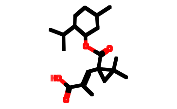 C/C(=C\C1(C(=O)OC2CC(C)CCC2C(C)C)CC1(C)C)C(=O)O